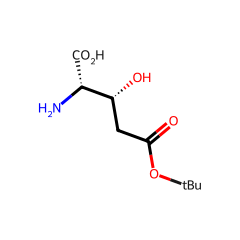 CC(C)(C)OC(=O)C[C@@H](O)[C@H](N)C(=O)O